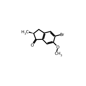 COc1cc2c(cc1Br)C[C@H](C)C2=O